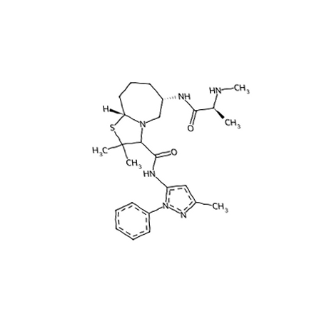 CN[C@@H](C)C(=O)N[C@H]1CCC[C@H]2SC(C)(C)C(C(=O)Nc3cc(C)nn3-c3ccccc3)N2C1